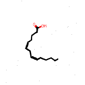 CCCCC/C=C\C/C=C\CCCC(=O)O